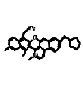 Cc1ccc2c(CC(C)C)c3c(c(C)c2c1)-c1c2c(cc4cc(CC5CCCC5)ccc4c2cc[n+]1C)O3